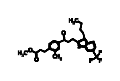 CCCCc1c(CCC(=O)c2ccc(CCC(=O)OC)c(C)c2)sc2cc(C(F)(F)F)ccc12